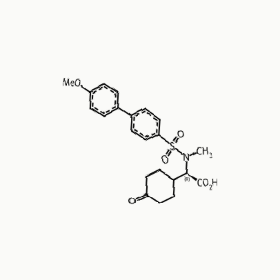 COc1ccc(-c2ccc(S(=O)(=O)N(C)[C@@H](C(=O)O)C3CCC(=O)CC3)cc2)cc1